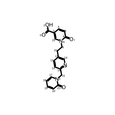 O=C(O)c1ccc(=O)n(CCc2ccc(Cn3ccccc3=O)nc2)c1